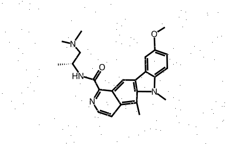 COc1ccc2c(c1)c1cc3c(C(=O)N[C@H](C)CN(C)C)nccc3c(C)c1n2C